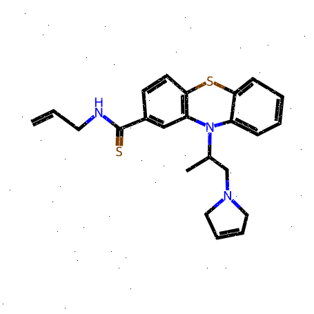 C=CCNC(=S)c1ccc2c(c1)N(C(C)CN1CC=CC1)c1ccccc1S2